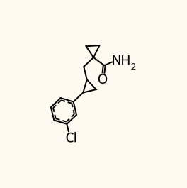 NC(=O)C1(CC2CC2c2cccc(Cl)c2)CC1